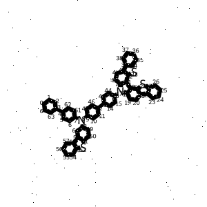 c1ccc(-c2ccc(N(c3ccc(-c4ccc(-n5c6ccc7c8ccccc8sc7c6c6c7sc8ccccc8c7ccc65)cc4)cc3)c3ccc4sc5ccccc5c4c3)cc2)cc1